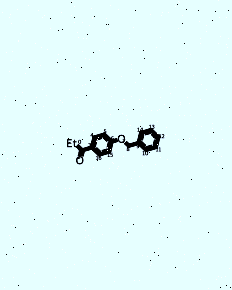 CCC(=O)c1ccc(OCc2ccccc2)cc1